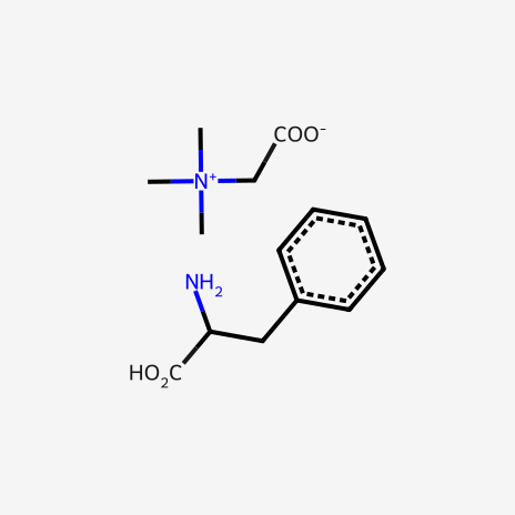 C[N+](C)(C)CC(=O)[O-].NC(Cc1ccccc1)C(=O)O